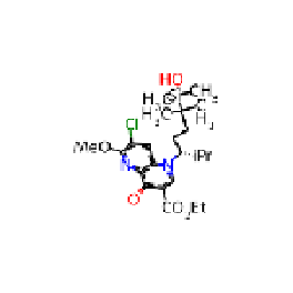 CCOC(=O)c1cn([C@H](CCC(C)(C)[Si](C)(C)O)C(C)C)c2cc(Cl)c(OC)nc2c1=O